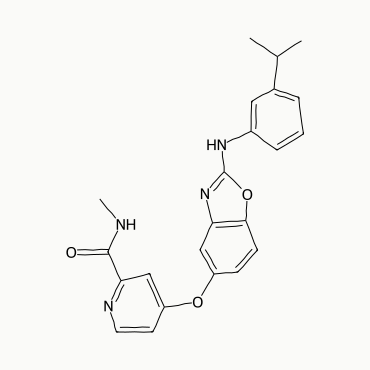 CNC(=O)c1cc(Oc2ccc3oc(Nc4cccc(C(C)C)c4)nc3c2)ccn1